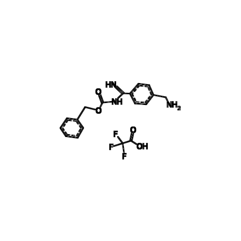 N=C(NC(=O)OCc1ccccc1)c1ccc(CN)cc1.O=C(O)C(F)(F)F